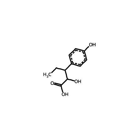 CCC(c1ccc(O)cc1)C(O)C(=O)O